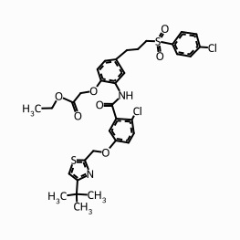 CCOC(=O)COc1ccc(CCCS(=O)(=O)c2ccc(Cl)cc2)cc1NC(=O)c1cc(OCc2nc(C(C)(C)C)cs2)ccc1Cl